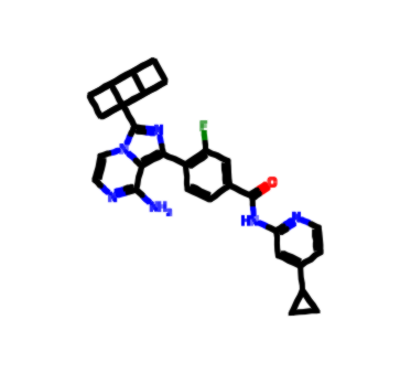 Nc1nccn2c(C34C5C6C7C5C3C7C64)nc(-c3ccc(C(=O)Nc4cc(C5CC5)ccn4)cc3F)c12